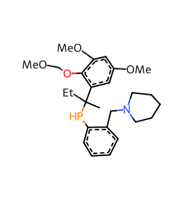 CCC(C)(Pc1ccccc1CN1CCCCC1)c1cc(OC)cc(OC)c1OCOC